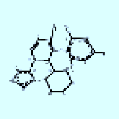 Fc1cc(F)c(C2=C(Cl)N=CN(c3nc[nH]n3)C2C2CCCCC2)c(F)c1